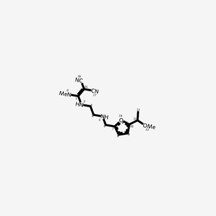 CNC(NCCNCc1ccc(C(C)OC)o1)=C(C#N)C#N